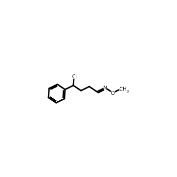 CO/N=C/CCC(Cl)c1ccccc1